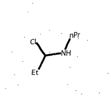 CCCNC(Cl)CC